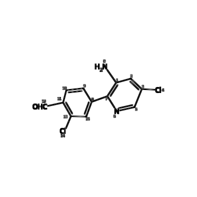 Nc1cc(Cl)cnc1-c1ccc(C=O)c(Cl)c1